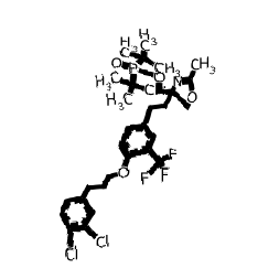 CC1=NC(CCc2ccc(OCCCc3ccc(Cl)c(Cl)c3)c(C(F)(F)F)c2)(COP(=O)(C(C)(C)C)C(C)(C)C)CO1